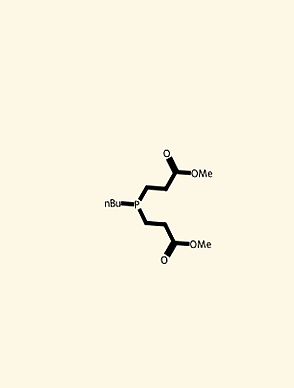 CCCCP(CCC(=O)OC)CCC(=O)OC